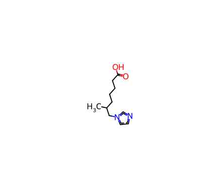 CC(CCCCC(=O)O)Cn1ccnc1